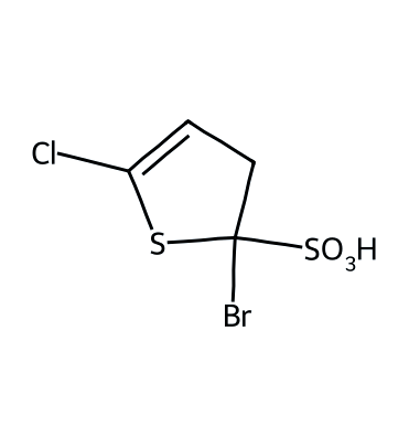 O=S(=O)(O)C1(Br)CC=C(Cl)S1